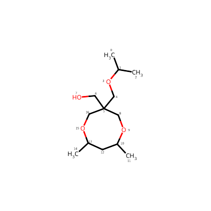 CC(C)OCC1(CO)COC(C)CC(C)OC1